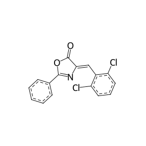 O=C1OC(c2ccccc2)=NC1=Cc1c(Cl)cccc1Cl